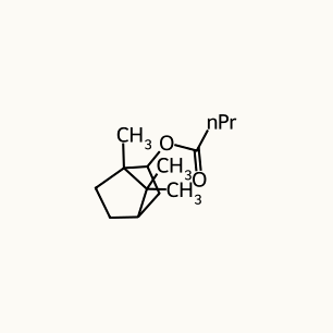 CCCC(=O)OC1CC2CCC1(C)C2(C)C